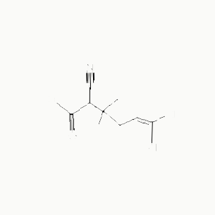 CC(C)(CC=C(Cl)Cl)C(C#N)C(=O)O